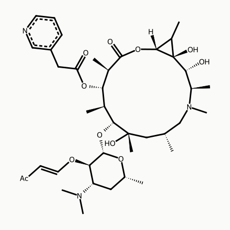 CC(=O)/C=C/O[C@H]1[C@H](O[C@@H]2[C@@H](C)[C@H](OC(=O)Cc3cccnc3)[C@@H](C)C(=O)O[C@@H]3C(C)[C@]3(O)[C@H](O)[C@@H](C)N(C)C[C@H](C)C[C@]2(C)O)O[C@H](C)C[C@@H]1N(C)C